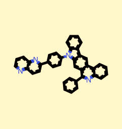 c1ccc(-c2nc3ccccc3c3cc4c5ccccc5n(-c5ccc(-c6ccc7ncccc7n6)cc5)c4cc23)cc1